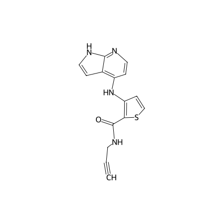 C#CCNC(=O)c1sccc1Nc1ccnc2[nH]ccc12